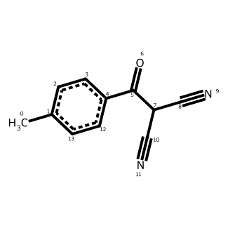 Cc1ccc(C(=O)C(C#N)C#N)cc1